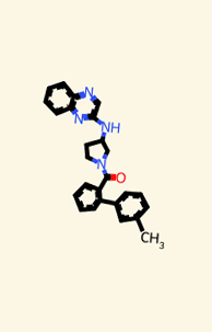 Cc1cccc(-c2ccccc2C(=O)N2CCC(Nc3cnc4ccccc4n3)C2)c1